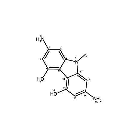 Cn1c2cc(N)cc(O)c2c2c(O)cc(N)cc21